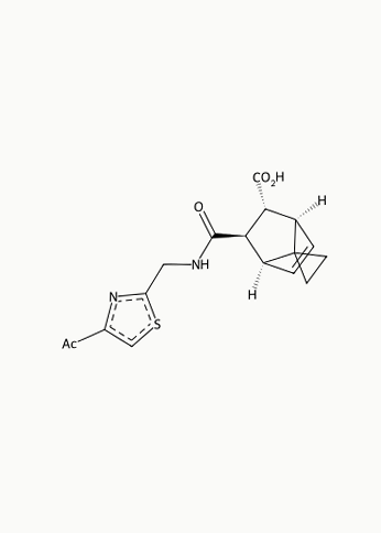 CC(=O)c1csc(CNC(=O)[C@H]2[C@H](C(=O)O)[C@H]3C=C[C@@H]2C32CC2)n1